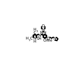 COc1cc2c(NCc3c(C)cc(C)[nH]c3=O)nc(N3CCOCC3)nc2cc1OCCCN1CCCC1